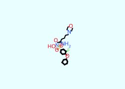 N[C@H](CCCCN1CCOCC1)C(=O)N(O)S(=O)(=O)c1ccc(Oc2ccccc2)c(F)c1